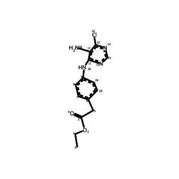 CCOC(=O)Cc1ccc(Nc2ncnc(Cl)c2N)cc1